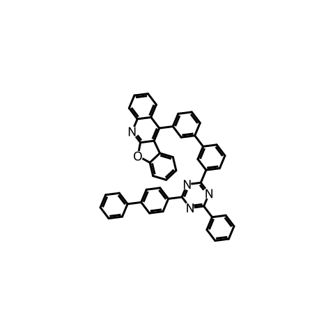 c1ccc(-c2ccc(-c3nc(-c4ccccc4)nc(-c4cccc(-c5cccc(-c6c7ccccc7nc7oc8ccccc8c67)c5)c4)n3)cc2)cc1